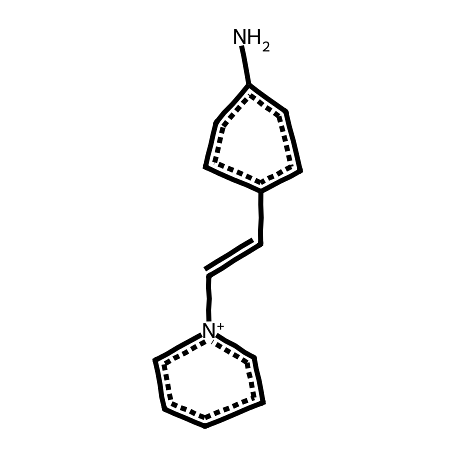 Nc1ccc(C=C[n+]2ccccc2)cc1